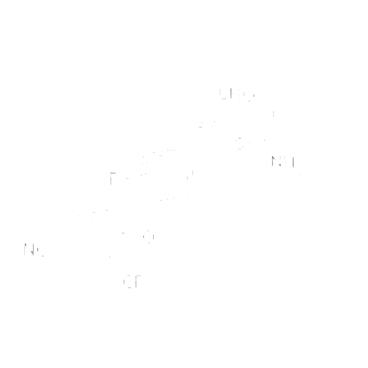 N#Cc1ccc(Oc2ccc(/C=C(/C=O)SC(N)=O)cc2F)c(C(F)(F)F)c1